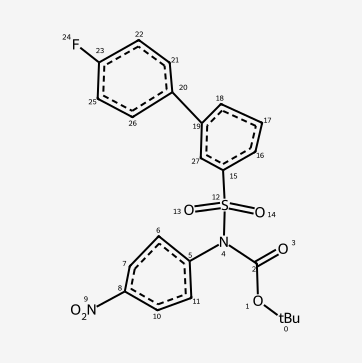 CC(C)(C)OC(=O)N(c1ccc([N+](=O)[O-])cc1)S(=O)(=O)c1cccc(-c2ccc(F)cc2)c1